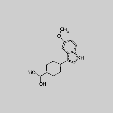 COc1ccc2[nH]cc(C3CCC(C(O)O)CC3)c2c1